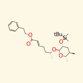 C[C@H](CC/C=C/C(=O)OCCc1ccccc1)O[C@@H]1O[C@@H](C)[C@H](C)C[C@H]1O[Si](C)(C)C(C)(C)C